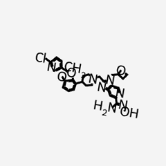 CC1(c2ccc(Cl)nc2)Oc2cccc(C3CCN(Cc4nc5cc(C(N)=NO)ncc5n4CC4CCO4)CC3)c2O1